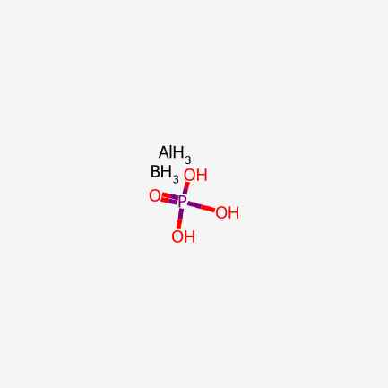 B.O=P(O)(O)O.[AlH3]